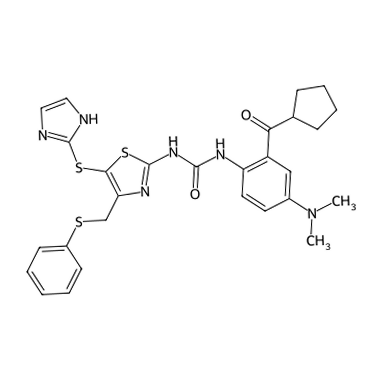 CN(C)c1ccc(NC(=O)Nc2nc(CSc3ccccc3)c(Sc3ncc[nH]3)s2)c(C(=O)C2CCCC2)c1